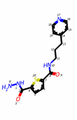 NNC(=O)c1ccc(C(=O)NCCCc2ccncc2)s1